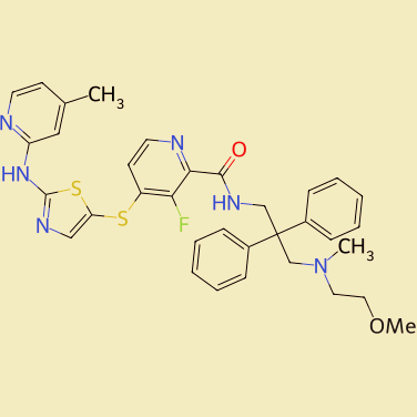 COCCN(C)CC(CNC(=O)c1nccc(Sc2cnc(Nc3cc(C)ccn3)s2)c1F)(c1ccccc1)c1ccccc1